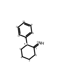 N=C1CCCCI1c1ccccc1